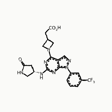 O=C(O)CC1CN(c2nc(N[C@@H]3CNC(=O)C3)nc3c2cnn3-c2cccc(C(F)(F)F)c2)C1